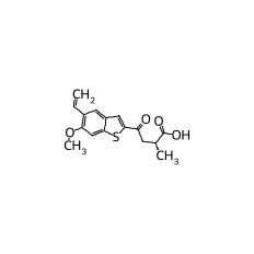 C=Cc1cc2cc(C(=O)C[C@H](C)C(=O)O)sc2cc1OC